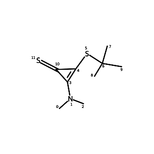 CN(C)c1c(SC(C)(C)C)c1=S